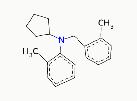 Cc1ccccc1CN(c1ccccc1C)C1CCCC1